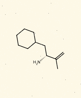 C=C(C)[C@H](N)CC1CCCCC1